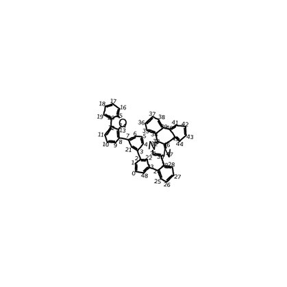 c1cc(-c2cccc(-c3cccc4c3oc3ccccc34)c2)cc(-c2ccccc2-c2cnc3c4ccccc4c4ccccc4c3n2)c1